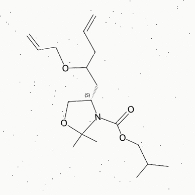 C=CCOC(CC=C)C[C@H]1COC(C)(C)N1C(=O)OCC(C)C